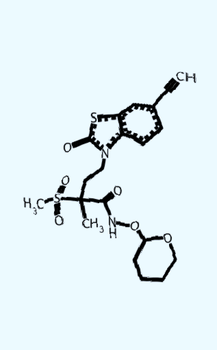 C#Cc1ccc2c(c1)sc(=O)n2CCC(C)(C(=O)NOC1CCCCO1)S(C)(=O)=O